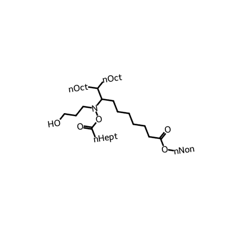 CCCCCCCCCOC(=O)CCCCCCC(C(CCCCCCCC)CCCCCCCC)N(CCCO)OC(=O)CCCCCCC